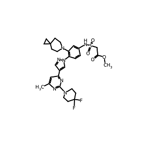 COC(=O)CS(=O)(=O)Nc1ccc(-n2cc(-c3cc(C)nc(N4CCC(F)(F)CC4)n3)cn2)c(N2CCC3(CC2)CC3)c1